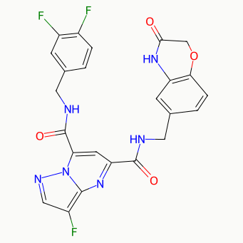 O=C1COc2ccc(CNC(=O)c3cc(C(=O)NCc4ccc(F)c(F)c4)n4ncc(F)c4n3)cc2N1